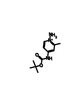 Cc1cc(NC(=O)OC(C)(C)C)cc[n+]1N